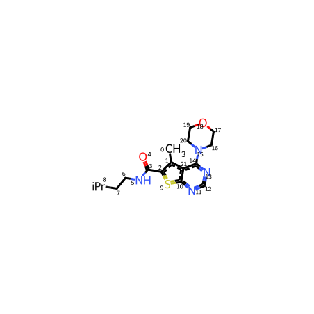 Cc1c(C(=O)NCCC(C)C)sc2ncnc(N3CCOCC3)c12